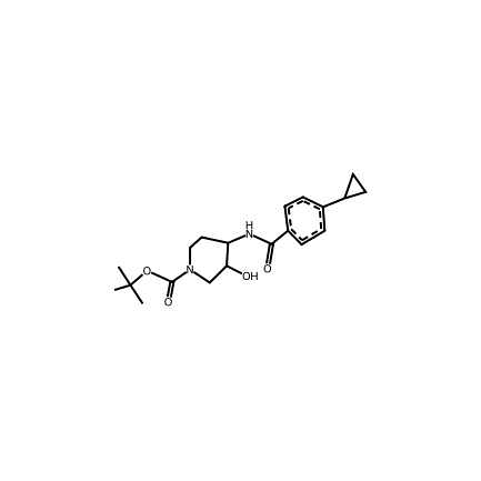 CC(C)(C)OC(=O)N1CCC(NC(=O)c2ccc(C3CC3)cc2)C(O)C1